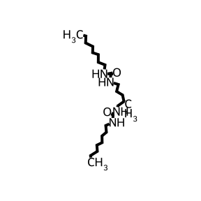 CCCCCCCCNC(=O)NCCCC(C)CNC(=O)NCCCCCCCC